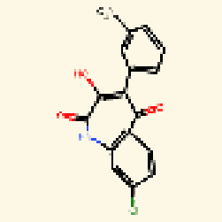 O=c1[nH]c2cc(Cl)ccc2c(=O)c(-c2cccc([N+](=O)[O-])c2)c1O